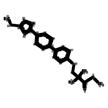 COC(=O)C(C)(C)COc1ccc(-c2ccc(-c3nc(SC)n[nH]3)cc2)cn1